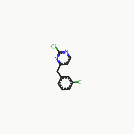 Clc1cccc(Cc2ccnc(Cl)n2)c1